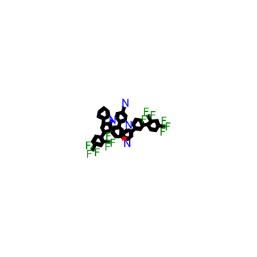 N#Cc1cccc(-c2c(-n3c4ccccc4c4cc(-c5ccc(C(F)(F)F)cc5C(F)(F)F)ccc43)cc(C#N)cc2-n2c3ccccc3c3cc(-c4ccc(C(F)(F)F)cc4C(F)(F)F)ccc32)c1